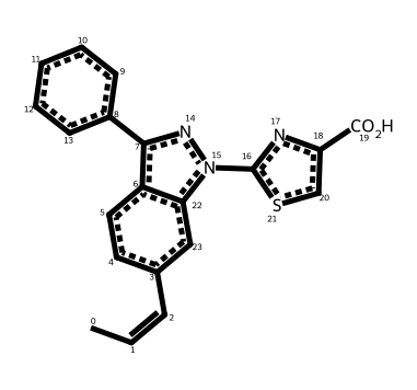 C/C=C\c1ccc2c(-c3ccccc3)nn(-c3nc(C(=O)O)cs3)c2c1